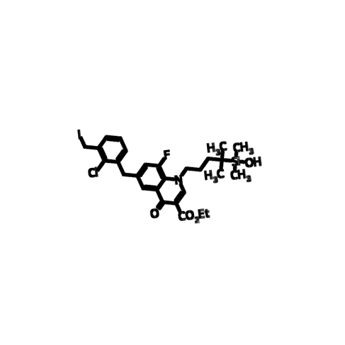 CCOC(=O)c1cn(CCCC(C)(C)[Si](C)(C)O)c2c(F)cc(Cc3cccc(CI)c3Cl)cc2c1=O